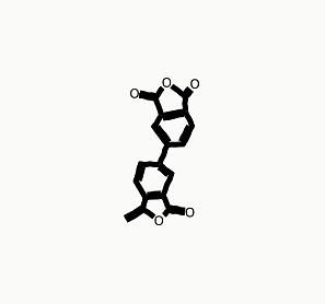 C=C1OC(=O)c2cc(-c3ccc4c(c3)C(=O)OC4=O)ccc21